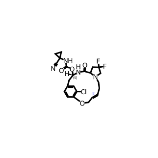 N#CC1(NC(=O)O[C@H]2Cc3ccc(c(Cl)c3)OC/C=C/CCN3CC(F)(F)CC3C(=O)N2)CC1